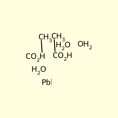 CC(=O)O.CC(=O)O.O.O.O.[Pb]